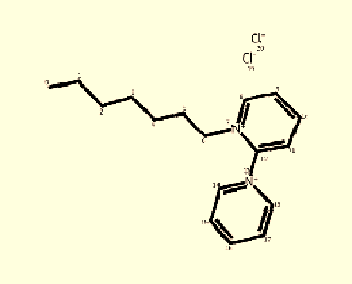 CCCCCCC[n+]1ccccc1-[n+]1ccccc1.[Cl-].[Cl-]